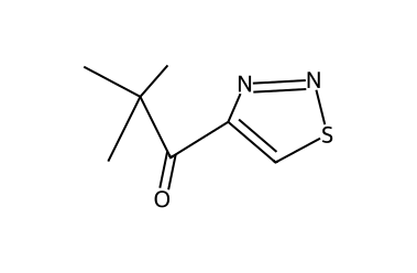 CC(C)(C)C(=O)c1csnn1